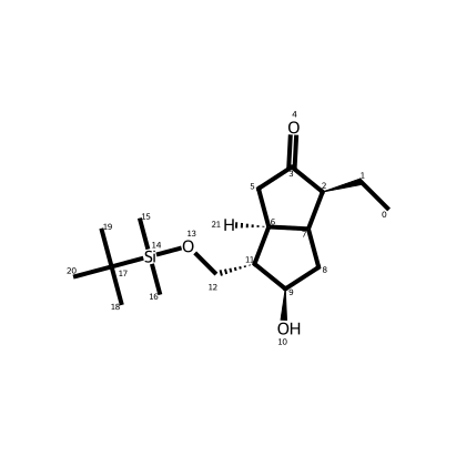 CC[C@@H]1C(=O)C[C@H]2C1C[C@@H](O)[C@@H]2CO[Si](C)(C)C(C)(C)C